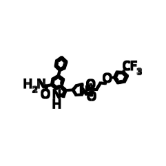 NC(=O)c1cc(-c2ccccc2)cc2c(C3CCN(S(=O)(=O)CCCOc4cccc(C(F)(F)F)c4)CC3)c[nH]c12